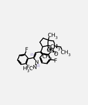 C=C(/C=C(\N=N/C)c1c(F)cccc1F)C1CCC(C)(CN(CC)S(=O)(=O)c2ccccc2F)C1(C)C